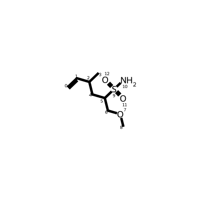 C=CC(C)CC(COC)S(N)(=O)=O